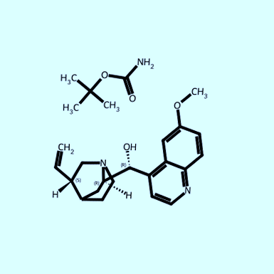 C=C[C@@H]1CN2CCC1C[C@@H]2[C@H](O)c1ccnc2ccc(OC)cc12.CC(C)(C)OC(N)=O